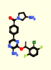 CC(Oc1nc(-c2ccc(C(=O)N3CCC(N)C3)cc2)cnc1N)c1c(F)ccc(F)c1Cl